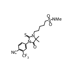 CNS(=O)(=O)CCCCCN1C(=S)N(c2ccc(C#N)c(C(F)(F)F)c2)C(=O)C1(C)C